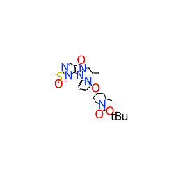 C=CCn1c(=O)c2cnc([S+](C)[O-])nc2n1-c1cccc(OC2CCN(C(=O)OC(C)(C)C)C(C)C2)n1